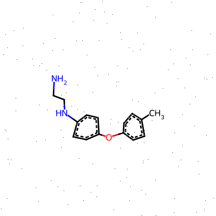 Cc1ccc(Oc2ccc(NCCN)cc2)cc1